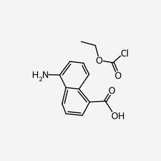 CCOC(=O)Cl.Nc1cccc2c(C(=O)O)cccc12